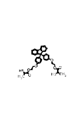 CC(S)C(=O)OCCOc1ccc(C2(c3ccc(OCCOC(=O)C(C)S)cc3)c3ccccc3-c3ccccc32)cc1